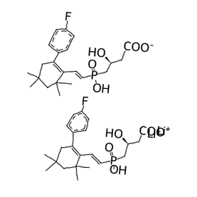 CC1(C)CC(c2ccc(F)cc2)=C(/C=C/P(=O)(O)C[C@@H](O)CC(=O)[O-])C(C)(C)C1.CC1(C)CC(c2ccc(F)cc2)=C(/C=C/P(=O)(O)C[C@@H](O)CC(=O)[O-])C(C)(C)C1.[Li+].[Li+]